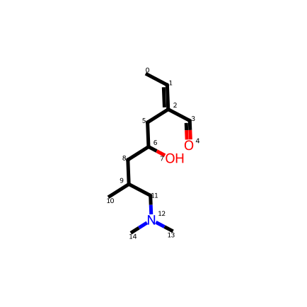 C/C=C(/C=O)CC(O)CC(C)CN(C)C